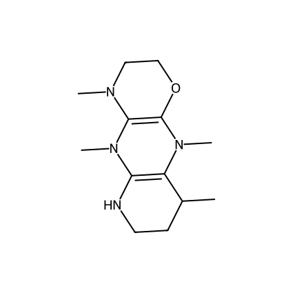 CC1CCNC2=C1N(C)C1=C(N(C)CCO1)N2C